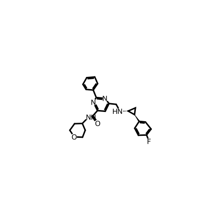 O=C(NC1CCOCC1)c1cc(CN[C@@H]2C[C@H]2c2ccc(F)cc2)nc(-c2ccccc2)n1